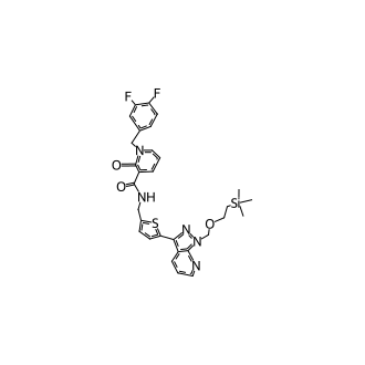 C[Si](C)(C)CCOCn1nc(-c2ccc(CNC(=O)c3cccn(Cc4ccc(F)c(F)c4)c3=O)s2)c2cccnc21